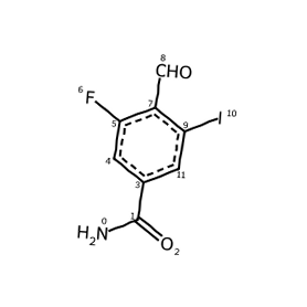 NC(=O)c1cc(F)c(C=O)c(I)c1